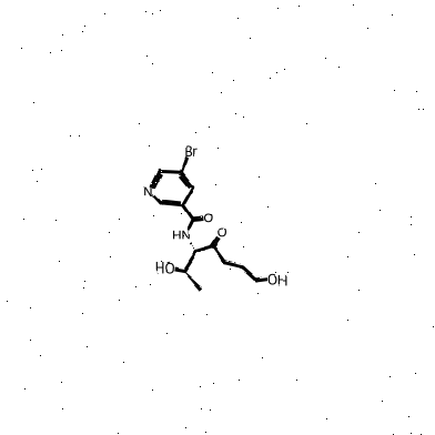 C[C@@H](O)[C@H](NC(=O)c1cncc(Br)c1)C(=O)CCCO